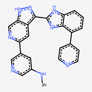 CC(C)Nc1cncc(-c2cc3c(-c4nc5c(-c6ccncc6)cccc5[nH]4)n[nH]c3cn2)c1